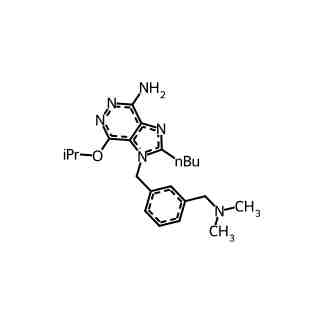 CCCCc1nc2c(N)nnc(OC(C)C)c2n1Cc1cccc(CN(C)C)c1